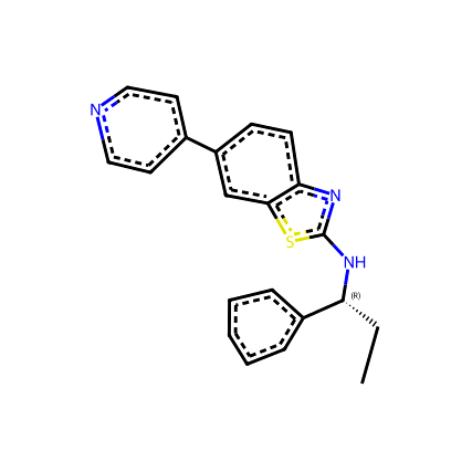 CC[C@@H](Nc1nc2ccc(-c3ccncc3)cc2s1)c1ccccc1